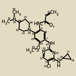 C=CC(=O)Nc1cc(Nc2ncc(Cl)c(NC3CC3)n2)c(OC)cc1N1CCC(N(C)C)CC1